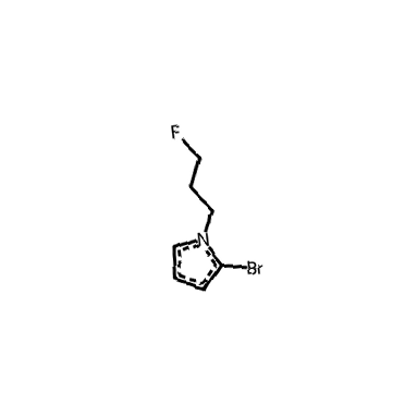 FCCCn1cccc1Br